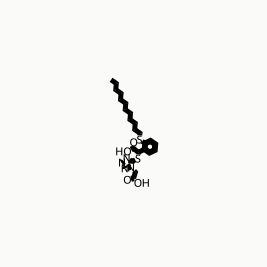 CCCCCCCCCCCCSc1ccccc1C(Sc1nnnn1CC(=O)O)C(=O)O